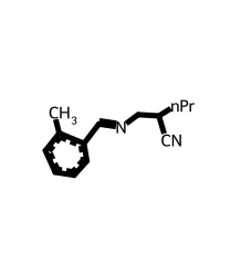 CCCC(C#N)CN=Cc1ccccc1C